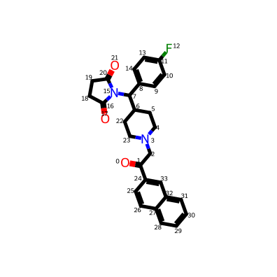 O=C(CN1CCC(C(c2ccc(F)cc2)N2C(=O)CCC2=O)CC1)c1ccc2ccccc2c1